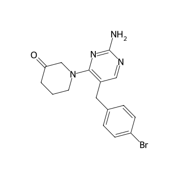 Nc1ncc(Cc2ccc(Br)cc2)c(N2CCCC(=O)C2)n1